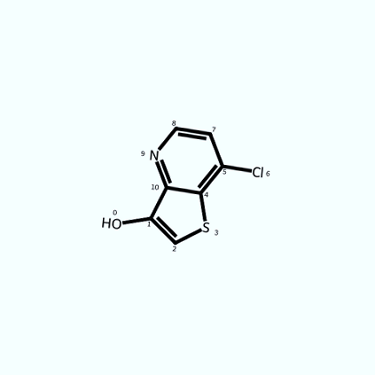 Oc1csc2c(Cl)ccnc12